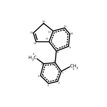 Cc1cccc(C)c1-c1cccc2c1C=C[CH]2